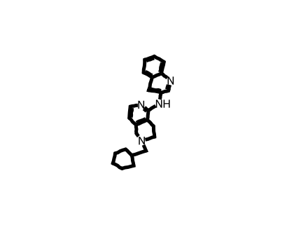 c1ccc2ncc(Nc3nccc4c3CCN(CC3CCCCC3)C4)cc2c1